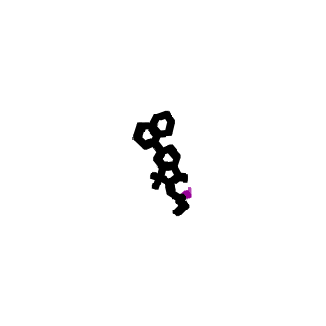 C=C1/C(=C\C(I)=C/C)C(C)(C)c2cc(-c3cccc4c3C=CCC4)ccc21